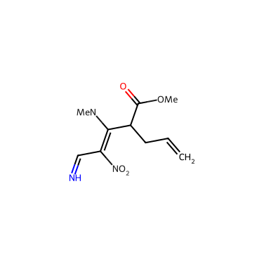 C=CCC(C(=O)OC)/C(NC)=C(/C=N)[N+](=O)[O-]